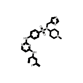 C=C/C(=C\C(=C)F)Nc1ccnc(Nc2ccc(S(=O)(=O)N(Cc3cscn3)C3CCN(C)CC3)cc2)n1